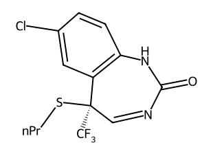 CCCS[C@]1(C(F)(F)F)C=NC(=O)Nc2ccc(Cl)cc21